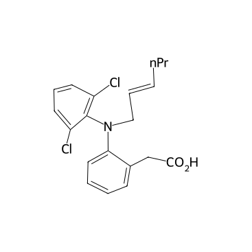 CCCC=CCN(c1ccccc1CC(=O)O)c1c(Cl)cccc1Cl